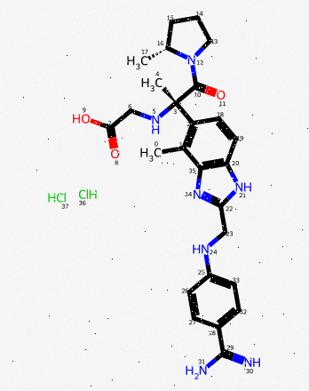 Cc1c([C@](C)(NCC(=O)O)C(=O)N2CCC[C@H]2C)ccc2[nH]c(CNc3ccc(C(=N)N)cc3)nc12.Cl.Cl